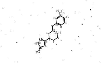 O=c1cc(C2CCNC(Cc3cccc(C(F)(F)F)c3)C2)o[nH]1